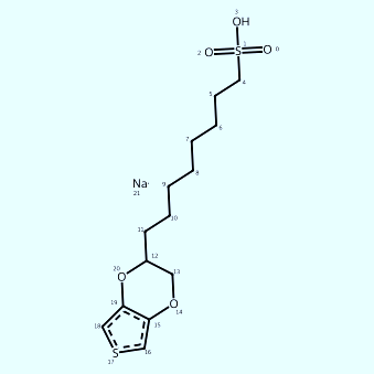 O=S(=O)(O)CCCCCCCCC1COc2cscc2O1.[Na]